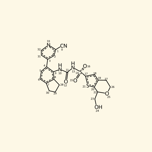 N#Cc1cc(-c2ccc3c(c2NC(=O)NS(=O)(=O)c2cc4c(s2)C(CO)OCC4)CCC3)ccn1